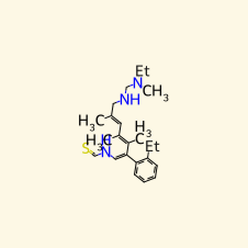 CCc1ccccc1C(=C/NC=S)/C(C)=C(C)/C=C(\C)CNCN(C)CC